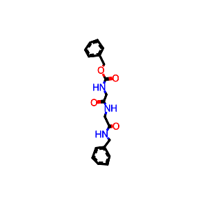 O=C(CNC(=O)CNC(=O)OCc1ccccc1)NCc1ccccc1